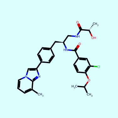 Cc1cccn2cc(-c3ccc(C[C@@H](CNC(=O)[C@H](C)O)NC(=O)c4ccc(OC(C)C)c(Cl)c4)cc3)nc12